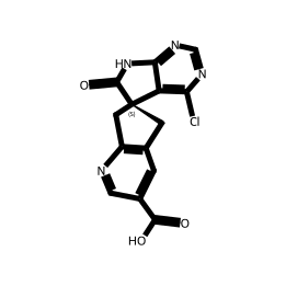 O=C(O)c1cnc2c(c1)C[C@@]1(C2)C(=O)Nc2ncnc(Cl)c21